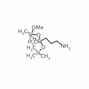 CO[Si](C)(C)O[Si](C)(CCCN)O[Si](C)(C)C